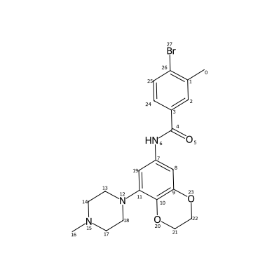 Cc1cc(C(=O)Nc2cc3c(c(N4CCN(C)CC4)c2)OCCO3)ccc1Br